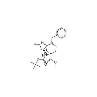 C=CC[C@@H]1[C@@H]2CN(C(=O)OC(C)(C)C)C1(C(=O)OC)CCN2Cc1ccccc1